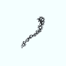 Cc1ccc(OCCOCCOCCOCCOCCOc2ccc(-c3ccc4ccc5ccc(C)nc5c4n3)cc2)cc1